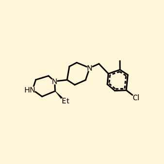 CC[C@H]1CNCCN1C1CCN(Cc2ccc(Cl)cc2C)CC1